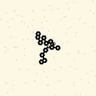 c1ccc(-c2ccc(N(c3ccc(-c4cccc(-c5cccc6ccccc56)c4)cc3)c3ccc(-c4ccccc4-c4ccccc4-c4ccc5ccccc5c4)cc3)c3c2oc2ccccc23)cc1